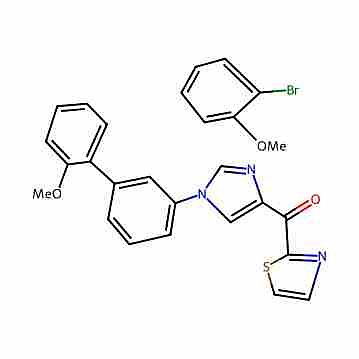 COc1ccccc1-c1cccc(-n2cnc(C(=O)c3nccs3)c2)c1.COc1ccccc1Br